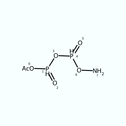 CC(=O)O[PH](=O)O[PH](=O)ON